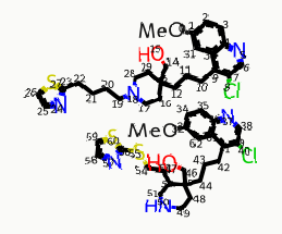 COc1ccc2ncc(Cl)c(CCCC3(CO)CCN(CCCCc4nccs4)CC3)c2c1.COc1ccc2ncc(Cl)c(CCCC3(CO)CCNCC3CCSc3nccs3)c2c1